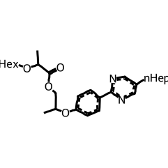 CCCCCCCc1cnc(-c2ccc(OC(C)COC(=O)C(C)OCCCCCC)cc2)nc1